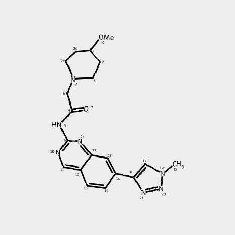 COC1CCN(CC(=O)Nc2ncc3ccc(-c4cn(C)nn4)cc3n2)CC1